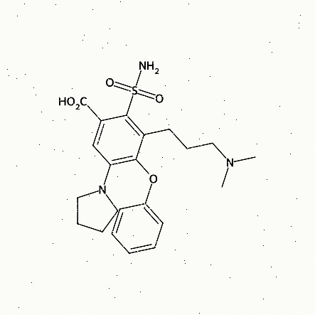 CN(C)CCCc1c(Oc2ccccc2)c(N2CCCC2)cc(C(=O)O)c1S(N)(=O)=O